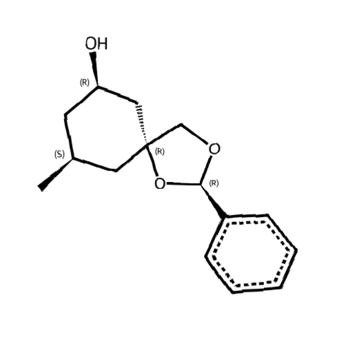 C[C@H]1C[C@@H](O)C[C@@]2(CO[C@@H](c3ccccc3)O2)C1